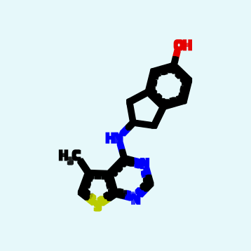 Cc1csc2ncnc(NC3Cc4ccc(O)cc4C3)c12